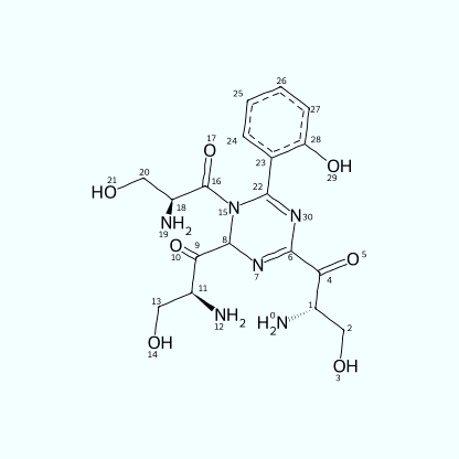 N[C@@H](CO)C(=O)C1=NC(C(=O)[C@@H](N)CO)N(C(=O)[C@@H](N)CO)C(c2ccccc2O)=N1